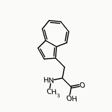 CNC(Cc1ccc2cccccc1-2)C(=O)O